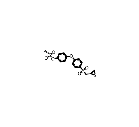 CC(C)S(=O)(=O)Oc1ccc(Oc2ccc(S(=O)(=O)C[C@H]3CS3)cc2)cc1